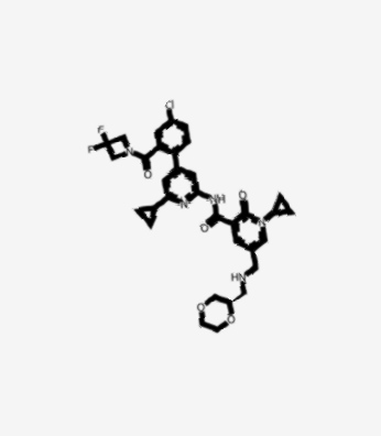 O=C(Nc1cc(-c2ccc(Cl)cc2C(=O)N2CC(F)(F)C2)cc(C2CC2)n1)c1cc(CNC[C@@H]2COCCO2)cn(C2CC2)c1=O